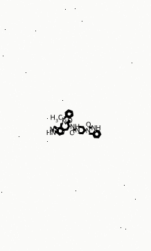 C[C@@H](c1ccccc1)N1Cc2c(ccc3[nH]ncc23)C[C@@H](NC(=O)N2CCC(N3Cc4ccccc4NC3=O)CC2)C1=O